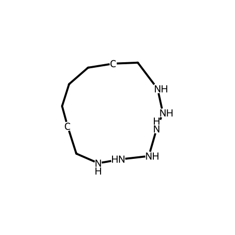 C1CCCNNNNNNCCC1